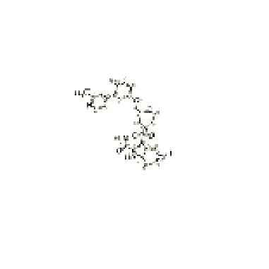 Cc1cc(-c2cc(OC[C@@H]3CN(S(=O)(=O)c4c(C(N)=O)[nH]c5ccc(Cl)cc45)CCO3)ccc2F)ccn1